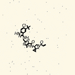 C=CC(=O)N1C[C@H](NC(=O)c2c(C)nc(CNc3n[nH]c4cc(Cl)c(C(C)(C)C)cc34)n2C)C2(CC2)C1